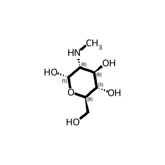 CN[C@@H]1[C@@H](O)[C@H](O)[C@@H](CO)O[C@@H]1O